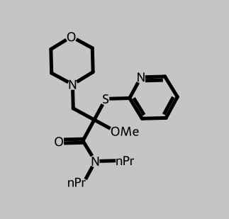 CCCN(CCC)C(=O)C(CN1CCOCC1)(OC)Sc1ccccn1